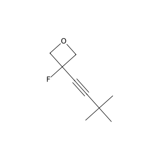 CC(C)(C)C#CC1(F)COC1